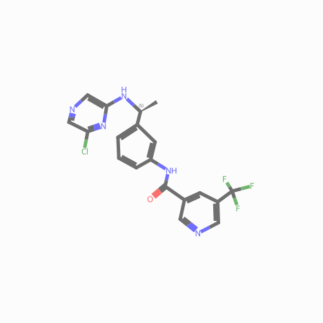 C[C@H](Nc1cncc(Cl)n1)c1cccc(NC(=O)c2cncc(C(F)(F)F)c2)c1